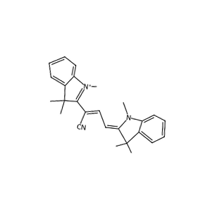 CN1/C(=C\C=C(/C#N)C2=[N+](C)c3ccccc3C2(C)C)C(C)(C)c2ccccc21